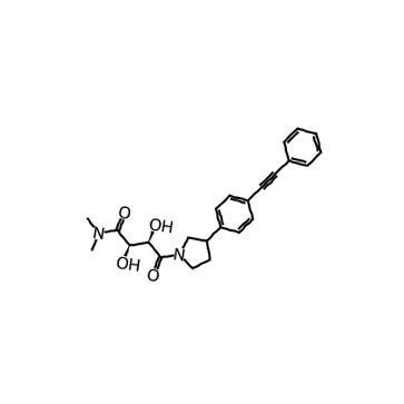 CN(C)C(=O)[C@H](O)[C@@H](O)C(=O)N1CCC(c2ccc(C#Cc3ccccc3)cc2)C1